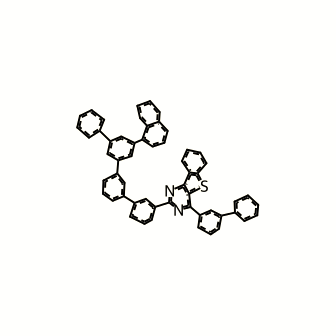 c1ccc(-c2cc(-c3cccc(-c4cccc(-c5nc(-c6cccc(-c7ccccc7)c6)c6sc7ccccc7c6n5)c4)c3)cc(-c3cccc4ccccc34)c2)cc1